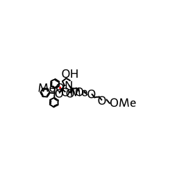 COCCOCCOCCOCC(=O)N1CC(O)CC1C(OC)(OC)OC(c1ccccc1)(c1ccccc1)c1ccccc1